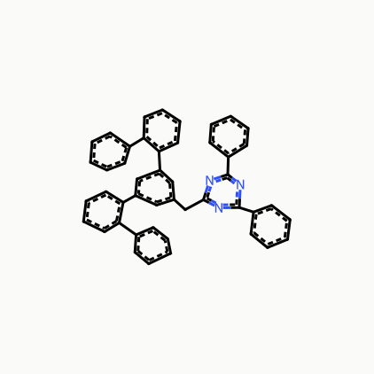 c1ccc(-c2nc(Cc3cc(-c4ccccc4-c4ccccc4)cc(-c4ccccc4-c4ccccc4)c3)nc(-c3ccccc3)n2)cc1